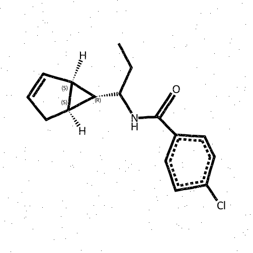 CCC(NC(=O)c1ccc(Cl)cc1)[C@H]1[C@@H]2C=CC[C@@H]21